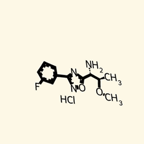 CO[C@H](C)[C@@H](N)c1nc(-c2cccc(F)c2)no1.Cl